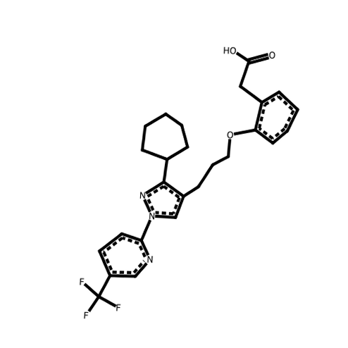 O=C(O)Cc1ccccc1OCCCc1cn(-c2ccc(C(F)(F)F)cn2)nc1C1CCCCC1